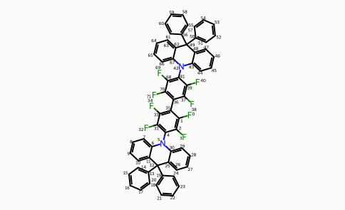 Fc1c(F)c(N2c3ccccc3C(c3ccccc3)(c3ccccc3)c3ccccc32)c(F)c(F)c1-c1c(F)c(F)c(N2c3ccccc3C(c3ccccc3)(c3ccccc3)c3ccccc32)c(F)c1F